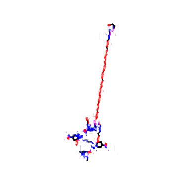 CCn1nc(C)cc1C(=O)Nc1nc2cc(C(N)=O)cc(OCCCN3CCN(CCOCCOCCOCCOCCOCCOCCOCCOCCOCCOCCNC(=O)CN4C(=O)C=CC4=O)CC3)c2n1C/C=C/Cn1c(NC(=O)c2cc(C)nn2C[C@H](O)CO)nc2cc(C(N)=O)cc(OC)c21